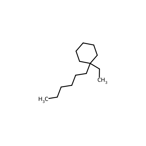 CCCCCCC1(CC)CCCCC1